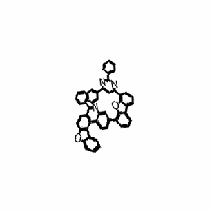 c1ccc(-c2cc(-c3cccc4c3oc3c(-c5ccc6c(c5)nc(-c5ccccc5)c5ccc7oc8ccccc8c7c56)cccc34)nc(-c3ccccc3)n2)cc1